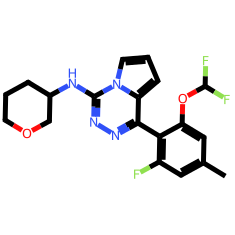 Cc1cc(F)c(-c2nnc(NC3CCCOC3)n3cccc23)c(OC(F)F)c1